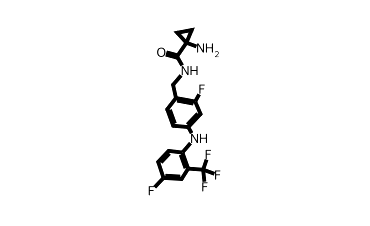 NC1(C(=O)NCc2ccc(Nc3ccc(F)cc3C(F)(F)F)cc2F)CC1